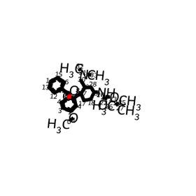 COc1cccc(C2(OC(=O)c3ccccc3)CCC(NC(=O)OC(C)(C)C)CC2CN(C)C)c1